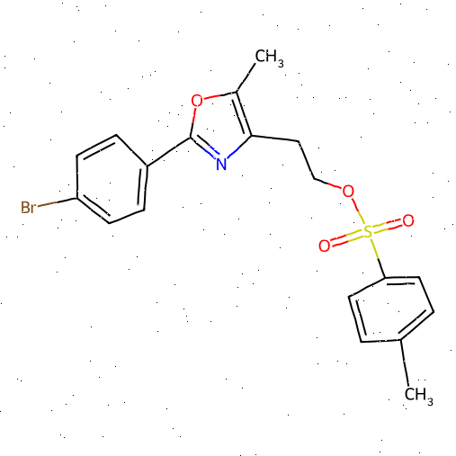 Cc1ccc(S(=O)(=O)OCCc2nc(-c3ccc(Br)cc3)oc2C)cc1